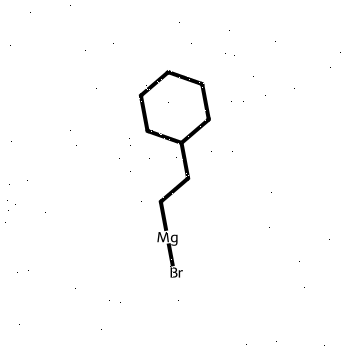 [Br][Mg][CH2]CC1CCCCC1